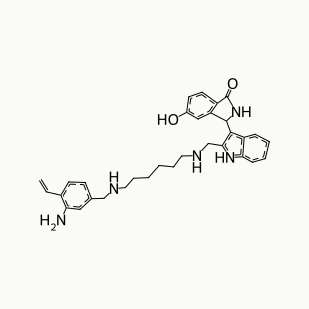 C=Cc1ccc(CNCCCCCCNCc2[nH]c3ccccc3c2C2NC(=O)c3ccc(O)cc32)cc1N